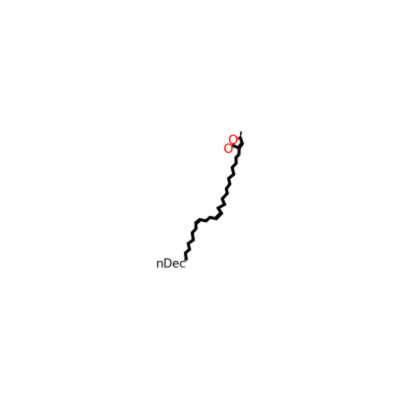 CCCCCCCCCCCCCCCCC/C=C\CC/C=C\CCCCCCCCCCCCC1=C[C@H](C)OC1=O